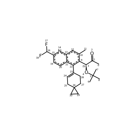 CC(=O)[C@@H](OC(C)(C)C)c1c(C)cc2nc(C(F)F)ccc2c1C1=CCC2(CC1)CC2